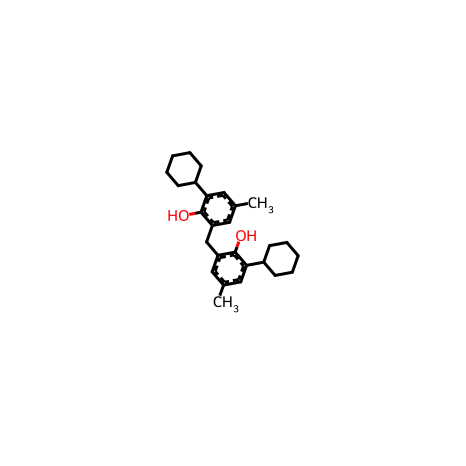 Cc1cc(Cc2cc(C)cc(C3CCCCC3)c2O)c(O)c(C2CCCCC2)c1